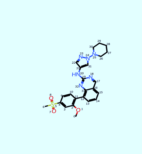 COc1cc(S(C)(=O)=O)ccc1-c1cccc2cnc(Nc3cnn(N4CCCCC4)c3)nc12